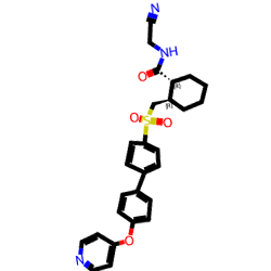 N#CCNC(=O)[C@@H]1CCCC[C@H]1CS(=O)(=O)c1ccc(-c2ccc(Oc3ccncc3)cc2)cc1